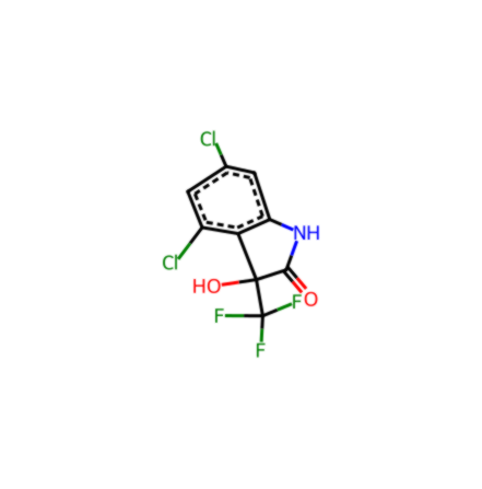 O=C1Nc2cc(Cl)cc(Cl)c2C1(O)C(F)(F)F